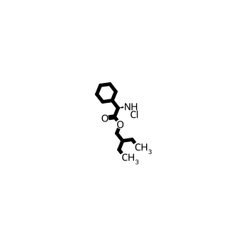 CCC(CC)COC(=O)[C@@H](NCl)C1CCCCC1